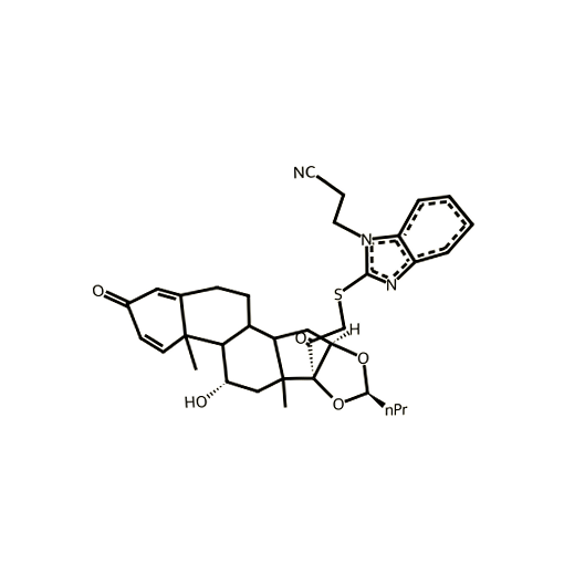 CCC[C@@H]1O[C@@H]2CC3C4CCC5=CC(=O)C=CC5(C)C4[C@@H](O)CC3(C)[C@]2(C(=O)CSc2nc3ccccc3n2CCC#N)O1